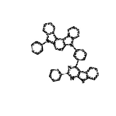 c1ccc(-c2nc(-c3cccc(-n4c5ccccc5c5c6c7ccccc7n(-c7ccccc7)c6ccc54)c3)c3c(n2)sc2ccccc23)cc1